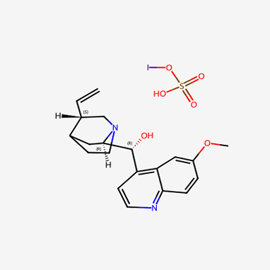 C=C[C@@H]1CN2CCC1C[C@@H]2[C@H](O)c1ccnc2ccc(OC)cc12.O=S(=O)(O)OI